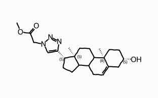 COC(=O)Cn1cc([C@H]2CCC3C4CC=C5C[C@@H](O)CC[C@]5(C)C4CC[C@@]32C)nn1